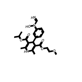 COCCOC(=O)C1=C(C)NC(C)=C(C(=O)OC(C)C)C1c1cccc(N(O)C=N)c1